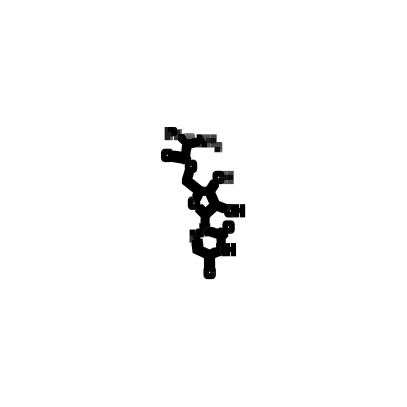 CC(C)[C@@H](N)C(=O)OCC1OC(n2ncc(=O)[nH]c2=O)C(O)C1O